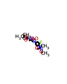 CON=C1COc2cc(N3CC(CNC(=O)OC(C)(C)C)OC3=O)cc(F)c2N1C